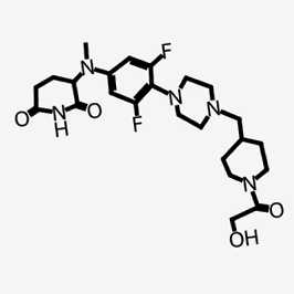 CN(c1cc(F)c(N2CCN(CC3CCN(C(=O)CO)CC3)CC2)c(F)c1)C1CCC(=O)NC1=O